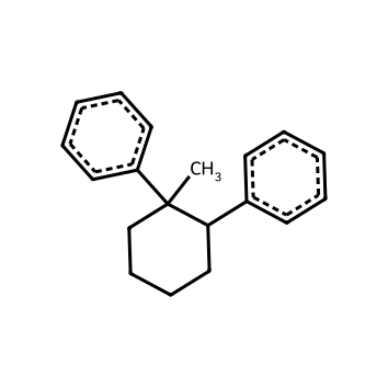 CC1(c2ccccc2)CCCCC1c1ccccc1